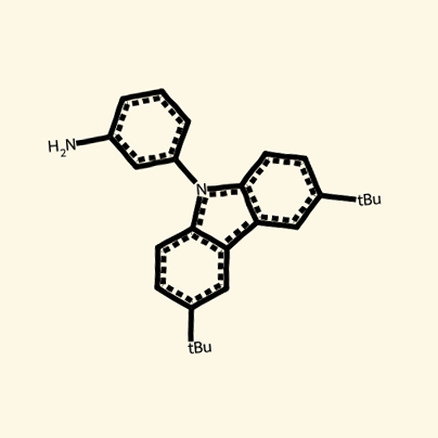 CC(C)(C)c1ccc2c(c1)c1cc(C(C)(C)C)ccc1n2-c1cccc(N)c1